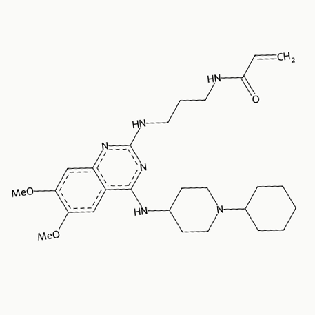 C=CC(=O)NCCCNc1nc(NC2CCN(C3CCCCC3)CC2)c2cc(OC)c(OC)cc2n1